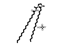 CCCCCCCCCCCCCCCCCC(=O)NC(C)[N+]1=C(CCCCCCCCCCCCCCCCC)N(C)CC1.O=S(=O)([O-])O